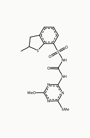 COc1nc(NC(=O)NS(=O)(=O)c2cccc3c2SC(C)C3)nc(SC)n1